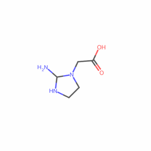 NC1NCCN1CC(=O)O